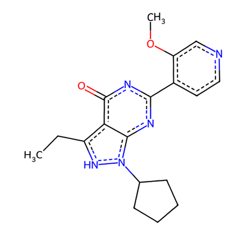 CCc1[nH]n(C2CCCC2)c2nc(-c3ccncc3OC)nc(=O)c1-2